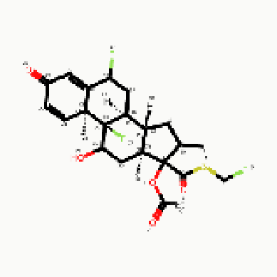 CCC(=O)OC1(C(=O)SCF)C(C)C[C@H]2[C@@H]3CC(F)C4=CC(=O)C=C[C@]4(C)[C@@]3(F)C(O)C[C@@]21C